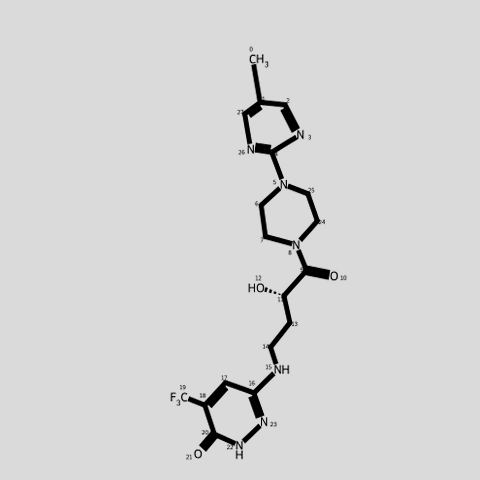 Cc1cnc(N2CCN(C(=O)[C@@H](O)CCNc3cc(C(F)(F)F)c(=O)[nH]n3)CC2)nc1